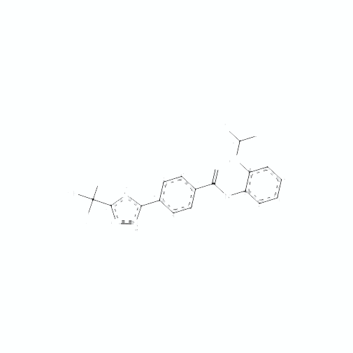 O=C(Nc1ccccc1OC(F)F)c1ccc(-c2noc(C(F)(F)F)n2)cc1